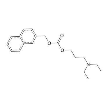 CCN(CC)CCCOC(=O)OCc1ccc2ccccc2c1